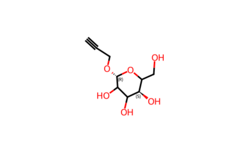 C#CCO[C@@H]1OC(CO)[C@@H](O)C(O)C1O